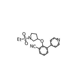 CCS(=O)(=O)N1CCC(Oc2c(C#N)cccc2-c2ccncc2)C1